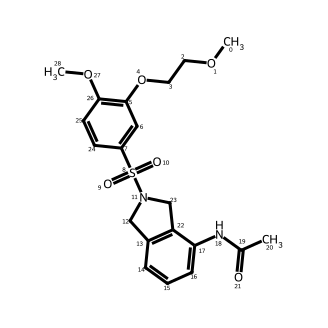 COCCOc1cc(S(=O)(=O)N2Cc3cccc(NC(C)=O)c3C2)ccc1OC